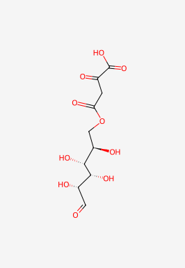 O=C[C@H](O)[C@@H](O)[C@H](O)[C@H](O)COC(=O)CC(=O)C(=O)O